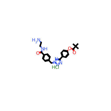 CC(C)(C)C(=O)Oc1ccc(-c2nnn(Cc3ccc(C(=O)NCCN)cc3)n2)cc1.Cl